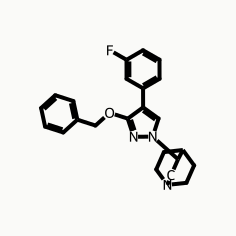 Fc1cccc(-c2cn(C3CN4CCC3CC4)nc2OCc2ccccc2)c1